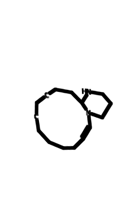 C1=CN2CCCNC2CCCCCCCCC1